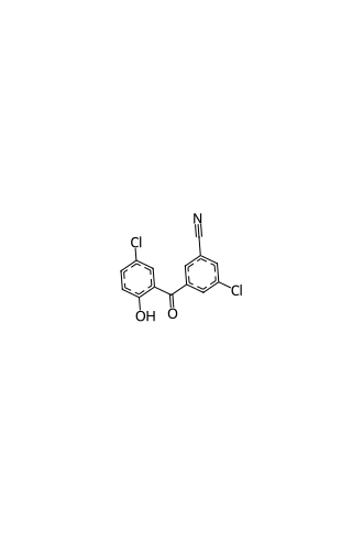 N#Cc1cc(Cl)cc(C(=O)c2cc(Cl)ccc2O)c1